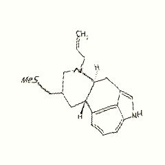 C=CCN1CC(CSC)C[C@H]2c3cccc4[nH]cc(c34)C[C@@H]21